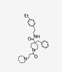 CCc1ccc(CCNC(=O)C2(Cc3ccccc3)CCN(C(=O)CCN3CCCCC3)CC2)cc1